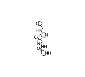 O=C(Nc1cc(-c2cncc(NCC3CCCOC3)n2)c(Cl)cn1)[C@@H]1CCCNC1